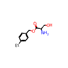 CCc1ccc(COC(=O)C(N)CO)cc1